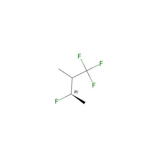 CC([C@@H](C)F)C(F)(F)F